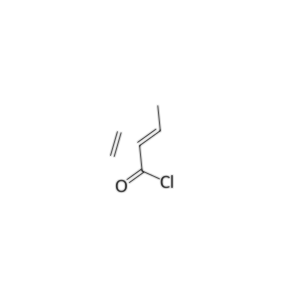 C=C.CC=CC(=O)Cl